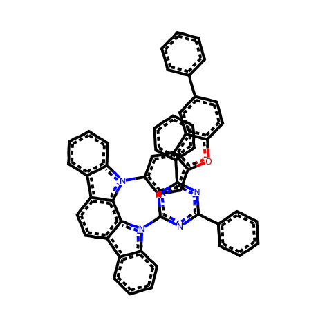 c1ccc(-c2ccc3oc4ccc(-n5c6ccccc6c6ccc7c8ccccc8n(-c8nc(-c9ccccc9)nc(-c9ccccc9)n8)c7c65)cc4c3c2)cc1